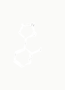 Ic1ccccc1C1C[C]=NO1